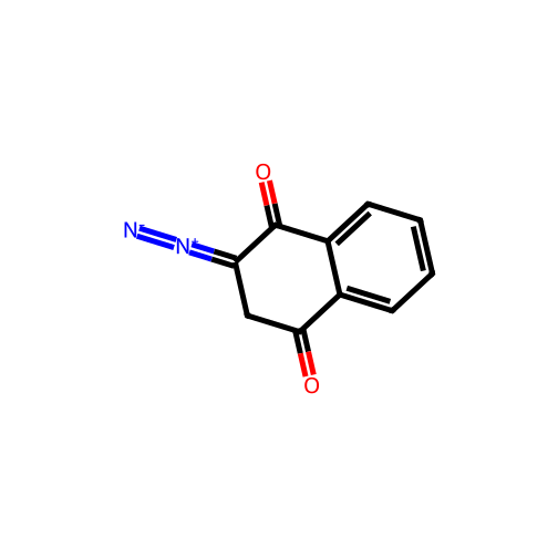 [N-]=[N+]=C1CC(=O)c2ccccc2C1=O